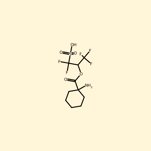 NC1(C(=O)OC(C(F)(F)F)C(F)(F)S(=O)(=O)O)CCCCC1